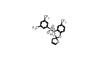 CC1(Oc2ccc(C(F)(F)F)cc2NS(=O)(=O)c2cc(C(F)(F)F)cc(C(F)(F)F)c2)CC=CS1